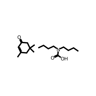 CC1=CC(=O)CC(C)(C)C1.CCCCN(CCCC)C(=O)O